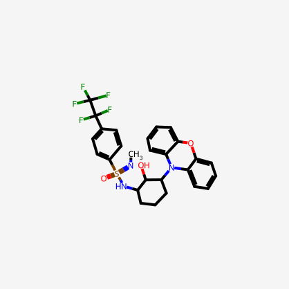 CN=S(=O)(NC1CCCC(N2c3ccccc3Oc3ccccc32)C1O)c1ccc(C(F)(F)C(F)(F)F)cc1